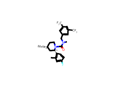 CN[C@@H]1CCN(C(=O)N(C)Cc2cc(C(F)(F)F)cc(C(F)(F)F)c2)[C@H](c2ccc(F)cc2C)C1